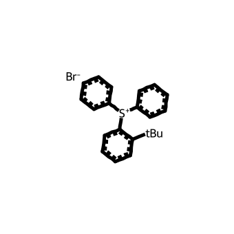 CC(C)(C)c1ccccc1[S+](c1ccccc1)c1ccccc1.[Br-]